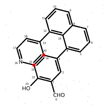 O=Cc1cc(-c2cccc3cccc(-c4ccncc4)c23)ccc1O